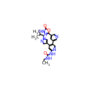 CCNC(=O)Nc1cc(-c2cnn(CC(C)C)c2)c(-c2cncc(-c3n[nH]c(=O)o3)c2)cn1